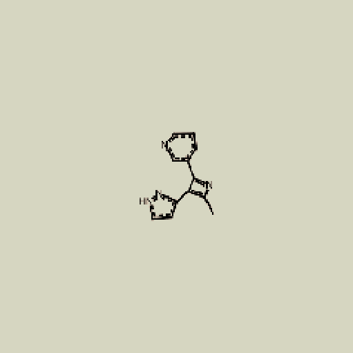 CC1=C(c2cc[nH]n2)C(c2cccnc2)=N1